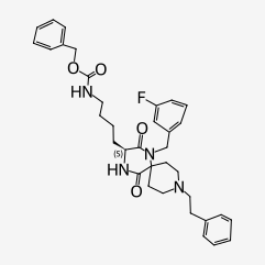 O=C(NCCCC[C@@H]1NC(=O)C2(CCN(CCc3ccccc3)CC2)N(Cc2cccc(F)c2)C1=O)OCc1ccccc1